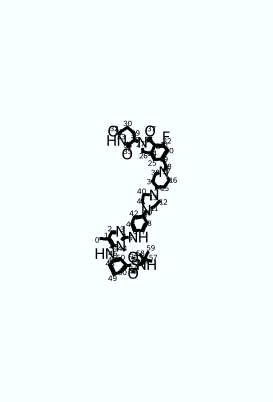 Cc1cnc(Nc2ccc(N3CCN(C4CCN(Cc5cc(F)c6c(c5)CN(C5CCC(=O)NC5=O)C6=O)CC4)CC3)cc2)nc1Nc1cccc(S(=O)(=O)NC(C)(C)C)c1